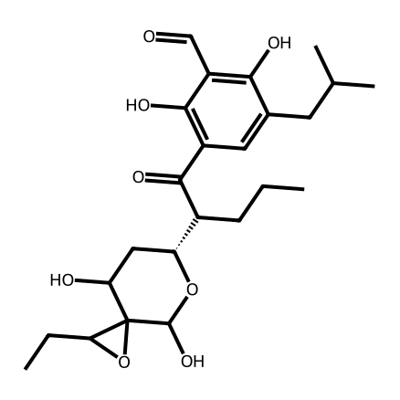 CCCC(C(=O)c1cc(CC(C)C)c(O)c(C=O)c1O)[C@H]1CC(O)C2(OC2CC)C(O)O1